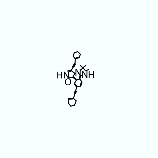 CC(Nc1nc2c(C#CC3=CCCCC3)c[nH]c(=O)c2c2cc(C#CC3=CCCCC3)ccc12)C(C)(C)C